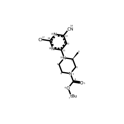 C[C@H]1CN(C(=O)OC(C)(C)C)CCN1c1cc(C#N)nc(Cl)n1